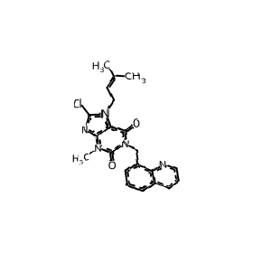 CC(C)=CCn1c(Cl)nc2c1c(=O)n(Cc1cccc3cccnc13)c(=O)n2C